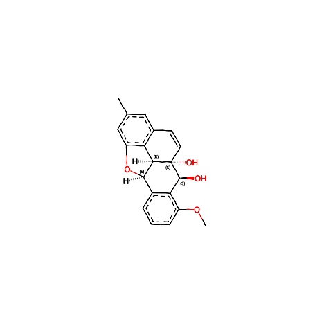 COc1cccc2c1[C@H](O)[C@]1(O)C=Cc3cc(C)cc4c3[C@@H]1[C@@H]2O4